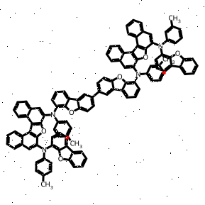 Cc1ccc(N(c2cccc3c2oc2ccccc23)c2cc3ccccc3c3c2oc2c(N(c4ccc(C)cc4)c4cccc5c4oc4ccc(-c6ccc7oc8c(N(c9cccc(C)c9)c9cc%10ccccc%10c%10c9oc9c(N(c%11cccc(C)c%11)c%11cccc%12c%11oc%11ccccc%11%12)cc%11ccccc%11c9%10)cccc8c7c6)cc45)cc4ccccc4c23)cc1